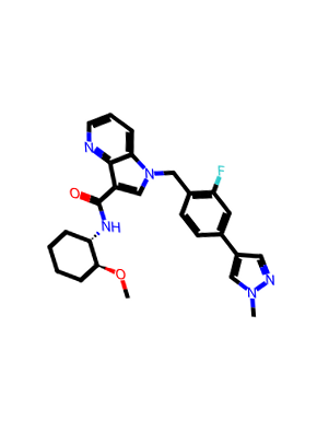 CO[C@H]1CCCC[C@@H]1NC(=O)c1cn(Cc2ccc(-c3cnn(C)c3)cc2F)c2cccnc12